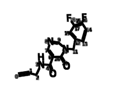 C#CCNC(=O)c1cncn(Cc2ccc(F)c(F)c2)c1=O